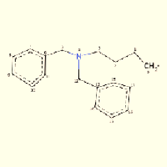 [CH2]CCCN(Cc1ccccc1)Cc1ccccc1